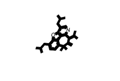 C=C1C(=C(C)C)c2ncc(CC(C)C)c3oc4c(CC(C)C)ccc(c4c23)C1(C)C